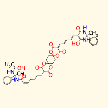 C=C(O)NC(C)(NC(=O)\C=C/C=C/C=C/C1C(=O)OC2(CCC3(CC2)OC(=O)C(=C/C=C/C=C/C2=C(O)NC(C)(c4ccccc4)NC2=O)C(=O)O3)OC1=O)c1ccccc1